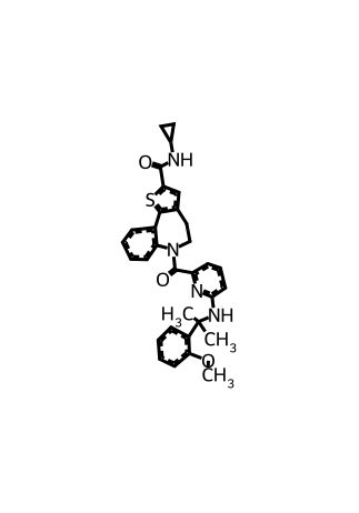 COc1ccccc1C(C)(C)Nc1cccc(C(=O)N2CCc3cc(C(=O)NC4CC4)sc3-c3ccccc32)n1